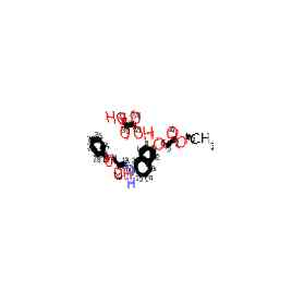 CCOC(=O)COc1ccc2c(c1)CCCC(NC[C@H](O)COc1ccccc1)C2.O=C(O)C(=O)O